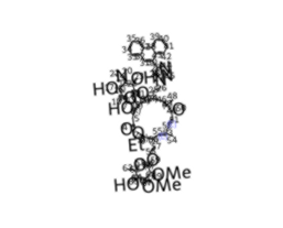 CC[C@H]1OC(=O)C[C@@H](O)[C@H](C)[C@@H](O[C@@H]2O[C@H](C)[C@@H](O)C(N(C)C)C2O)[C@@H](CCn2cc(-c3cc4ccccc4c4ccccc34)nn2)C[C@@H](C)C(=O)/C=C/C(C)=C/[C@@H]1CCO[C@@H]1OC(C)[C@@H](O)[C@H](OC)C1OC